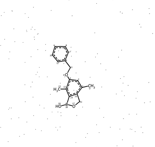 Cc1cc(OCc2ccccc2)c(C)c2c1COB2O